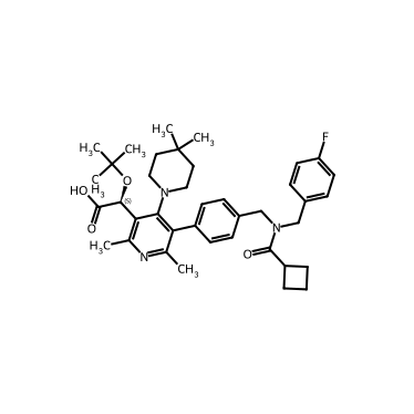 Cc1nc(C)c([C@H](OC(C)(C)C)C(=O)O)c(N2CCC(C)(C)CC2)c1-c1ccc(CN(Cc2ccc(F)cc2)C(=O)C2CCC2)cc1